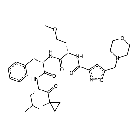 COCC[C@H](NC(=O)c1cc(CN2CCOCC2)on1)C(=O)N[C@@H](Cc1ccccc1)C(=O)N[C@@H](CC(C)C)C(=O)C1(C)CC1